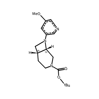 COc1cncc(N2C[C@H]3CCN(C(=O)OC(C)(C)C)C[C@H]32)c1